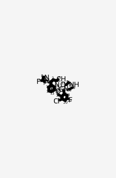 Cc1cc(-n2cc(F)cn2)c2cccc(OCc3c(Cl)cc(F)cc3[C@H](C)N3CCNCC3=O)c2n1